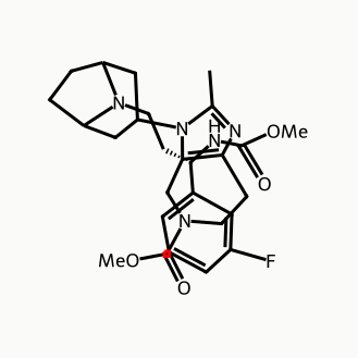 COC(=O)N[C@@H](CCN1C2CCC1CC(n1c(C)nc3c1CN(C(=O)OC)CC3)C2)c1cccc(F)c1